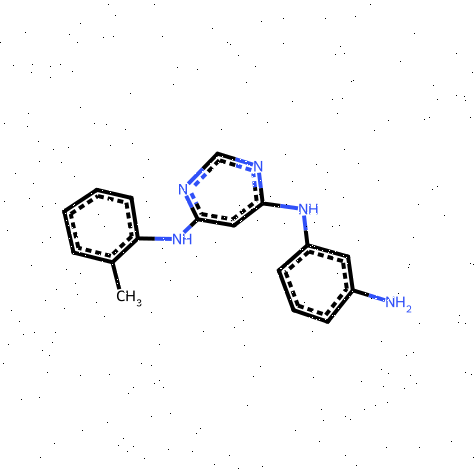 Cc1ccccc1Nc1cc(Nc2cccc(N)c2)ncn1